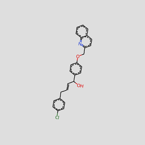 OC(C=CCc1ccc(Cl)cc1)c1ccc(OCc2ccc3ccccc3n2)cc1